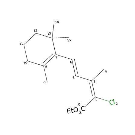 CCOC(=O)/C(Cl)=C(C)\C=C\C1=C(C)CCCC1(C)C